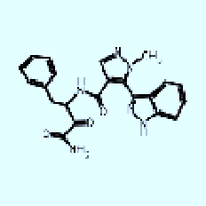 Cn1ncc(C(=O)NC(Cc2ccccc2)C(=O)C(N)=O)c1-c1n[nH]c2ccccc12